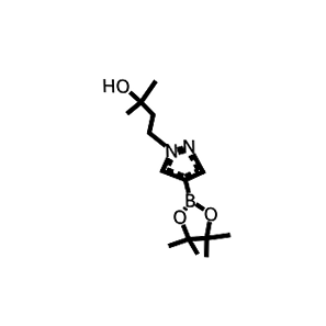 CC(C)(O)CCn1cc(B2OC(C)(C)C(C)(C)O2)cn1